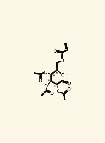 C=CC(=O)OC[C@@H](O)[C@@H](OC(C)=O)[C@H](OC(C)=O)[C@H](C=O)OC(C)=O